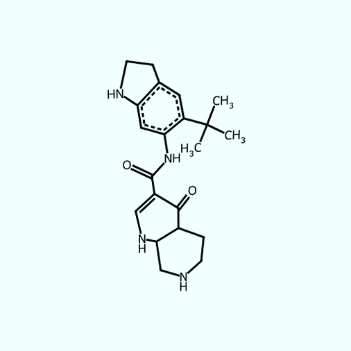 CC(C)(C)c1cc2c(cc1NC(=O)C1=CNC3CNCCC3C1=O)NCC2